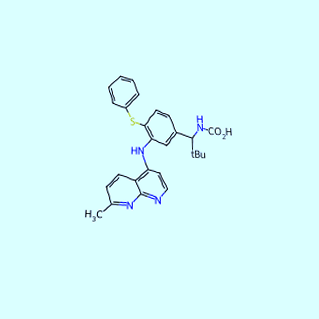 Cc1ccc2c(Nc3cc(C(NC(=O)O)C(C)(C)C)ccc3Sc3ccccc3)ccnc2n1